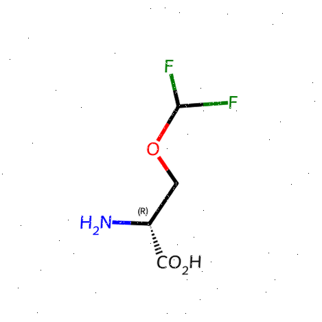 N[C@H](COC(F)F)C(=O)O